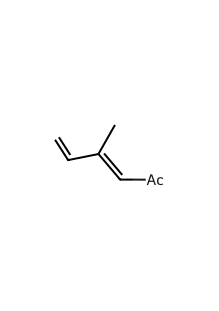 C=C/C(C)=C/C(C)=O